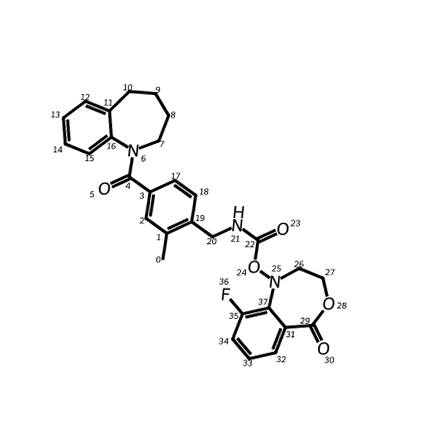 Cc1cc(C(=O)N2CCCCc3ccccc32)ccc1CNC(=O)ON1CCOC(=O)c2cccc(F)c21